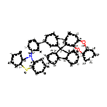 c1cc(-c2ccc3c(c2)C2(c4ccccc4-c4ccccc42)c2c-3ccc3c2Oc2ccccc2O3)cc(N2c3ccccc3Sc3ccccc32)c1